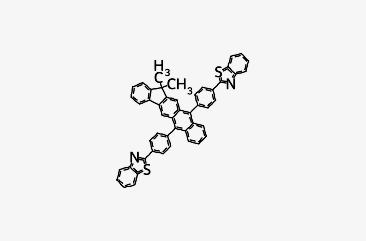 CC1(C)c2ccccc2-c2cc3c(-c4ccc(-c5nc6ccccc6s5)cc4)c4ccccc4c(-c4ccc(-c5nc6ccccc6s5)cc4)c3cc21